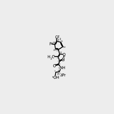 Cc1c(C(=O)N[C@@H](CO)C(C)C)noc1-c1ccc(C(F)(F)F)c(F)c1